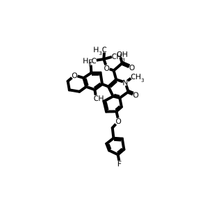 Cc1c(-c2c(C(OC(C)(C)C)C(=O)O)n(C)c(=O)c3cc(OCc4ccc(F)cc4)ccc23)cc(F)c2c1CCCO2